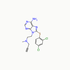 C#CCN(C)CCn1c(Sc2ccc(Cl)cc2Cl)nc2c(N)ncnc21